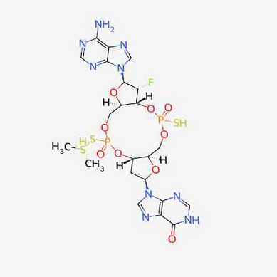 C[SH](C)SP1(=O)OC[C@H]2O[C@@H](n3cnc4c(N)ncnc43)[C@H](F)[C@@H]2OP(=O)(S)OC[C@H]2O[C@@H](n3cnc4c(=O)[nH]cnc43)C[C@@H]2O1